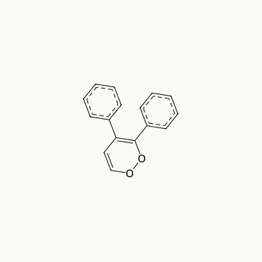 C1=CC(c2ccccc2)=C(c2ccccc2)OO1